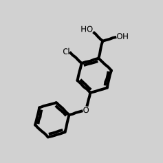 OC(O)c1ccc(Oc2ccccc2)cc1Cl